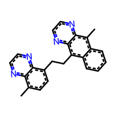 Cc1ccc(CCc2c3ccccc3c(C)c3nccnc23)c2nccnc12